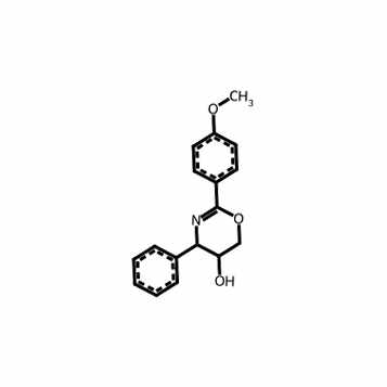 COc1ccc(C2=NC(c3ccccc3)C(O)CO2)cc1